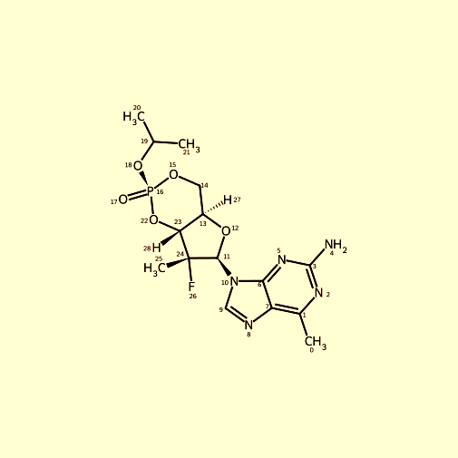 Cc1nc(N)nc2c1ncn2[C@@H]1O[C@@H]2CO[P@](=O)(OC(C)C)O[C@H]2[C@@]1(C)F